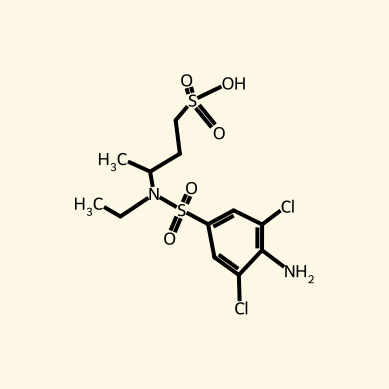 CCN(C(C)CCS(=O)(=O)O)S(=O)(=O)c1cc(Cl)c(N)c(Cl)c1